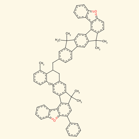 Cc1cccc(C)c1C(Cc1ccc2c(c1)C(C)(C)c1cc3c(cc1-2)C(C)(C)c1ccc2oc4ccccc4c2c1-3)Cc1ccc2c(c1)C(C)(C)c1cc(-c3ccccc3)c3oc4ccccc4c3c1-2